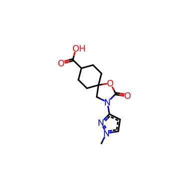 Cn1ccc(N2CC3(CCC(C(=O)O)CC3)OC2=O)n1